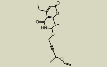 C=COC(C)C#CCOC1NC(=O)c2c(CC)cc(=O)oc2N1